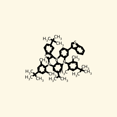 Cc1cc(C(C)(C)C)cc(C)c1N1c2cc(-c3csc4ccccc34)ccc2B2c3c1cc(C(C)C)cc3N(c1c(C)cc(C(C)(C)C)cc1C)c1sc3ccc(C(C)(C)C)cc3c12